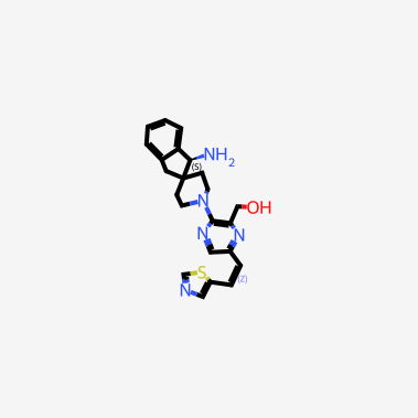 N[C@@H]1c2ccccc2CC12CCN(c1ncc(/C=C\c3cncs3)nc1CO)CC2